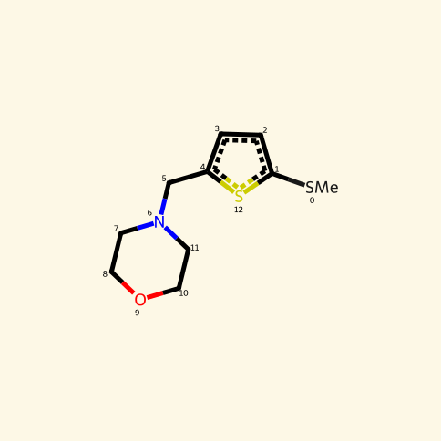 CSc1ccc(CN2CCOCC2)s1